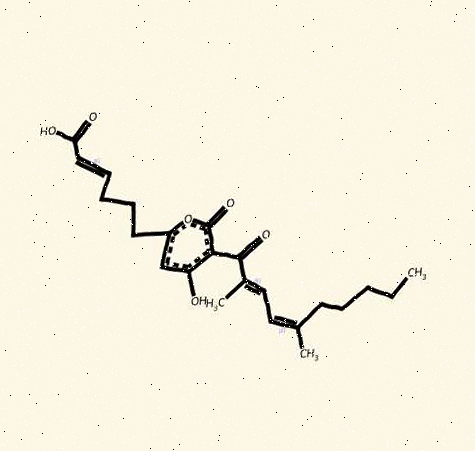 CCCCC/C(C)=C\C=C(/C)C(=O)c1c(O)cc(CCC/C=C/C(=O)O)oc1=O